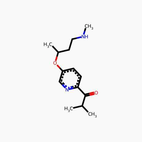 CNCCC(C)Oc1ccc(C(=O)C(C)C)nc1